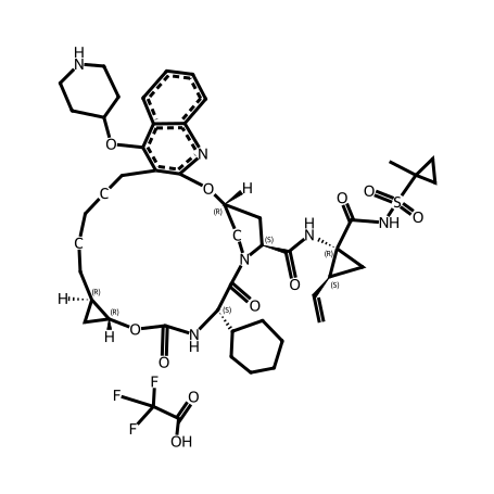 C=C[C@@H]1C[C@]1(NC(=O)[C@@H]1C[C@@H]2CN1C(=O)[C@H](C1CCCCC1)NC(=O)O[C@@H]1C[C@H]1CCCCCc1c(nc3ccccc3c1OC1CCNCC1)O2)C(=O)NS(=O)(=O)C1(C)CC1.O=C(O)C(F)(F)F